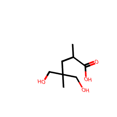 CC(CC(C)(CO)CO)C(=O)O